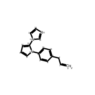 C=CCc1ccc(-n2cccc2-n2ccnc2)cc1